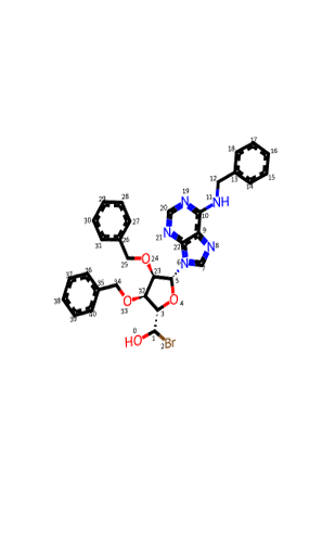 OC(Br)[C@H]1O[C@@H](n2cnc3c(NCc4ccccc4)ncnc32)[C@H](OCc2ccccc2)[C@@H]1OCc1ccccc1